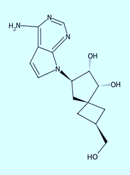 Nc1ncnc2c1ccn2[C@@H]1C[C@]2(C[C@@H](CO)C2)[C@@H](O)[C@H]1O